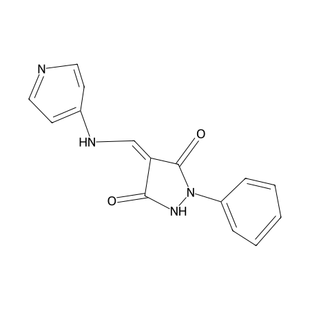 O=C1NN(c2ccccc2)C(=O)/C1=C/Nc1ccncc1